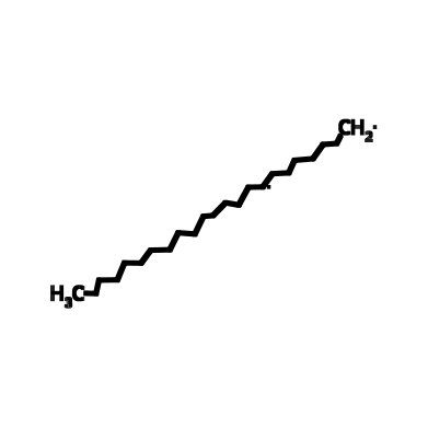 [CH2]CCCCCC[CH]CCCCCCCCCCCCCCC